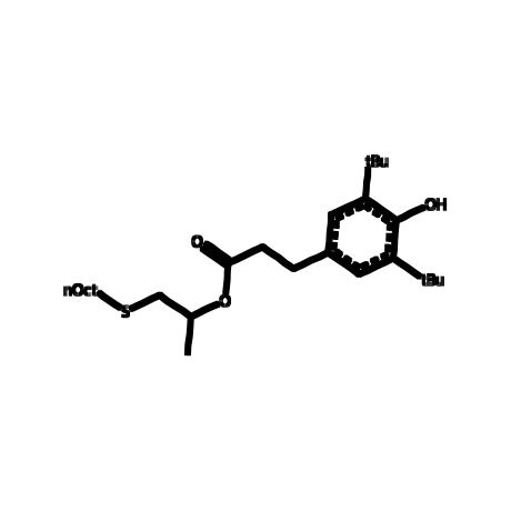 CCCCCCCCSCC(C)OC(=O)CCc1cc(C(C)(C)C)c(O)c(C(C)(C)C)c1